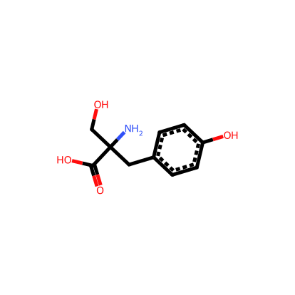 NC(CO)(Cc1ccc(O)cc1)C(=O)O